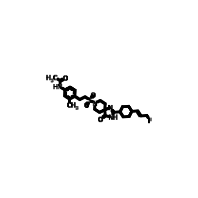 CC(=O)Nc1ccc(CCS(=O)(=O)N2CCC3(CC2)N=C(C2CCC(/C=C/CF)CC2)NC3=O)c(C)c1